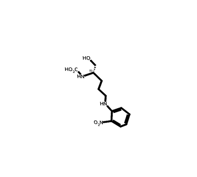 O=C(O)N[C@H](CO)CCCNc1ccccc1[N+](=O)[O-]